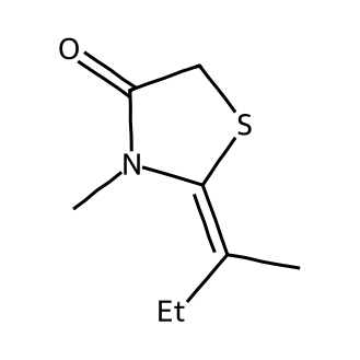 CC/C(C)=C1/SCC(=O)N1C